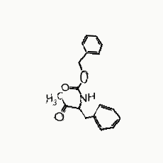 CC(=O)C(Cc1ccccc1)NC(=O)OCc1ccccc1